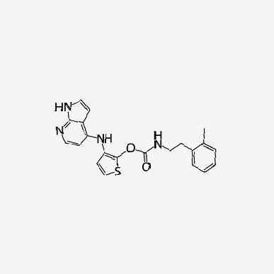 Cc1ccccc1CCNC(=O)Oc1sccc1Nc1ccnc2[nH]ccc12